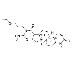 CCNC(=O)N(CCCOCC)C(=O)C1CC[C@H]2[C@@H]3CCC4N(C)C(=O)C=C[C@]4(C)[C@@H]3CC[C@]12C